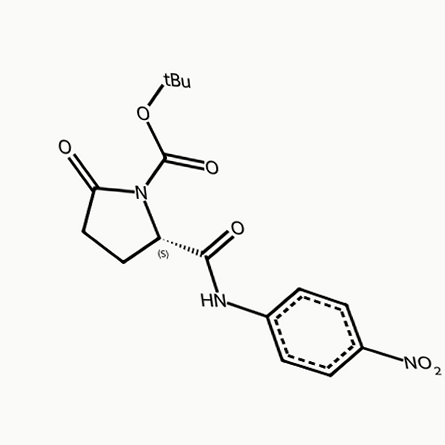 CC(C)(C)OC(=O)N1C(=O)CC[C@H]1C(=O)Nc1ccc([N+](=O)[O-])cc1